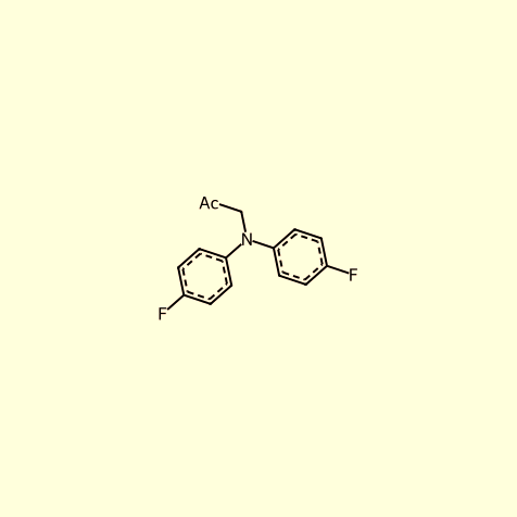 CC(=O)CN(c1ccc(F)cc1)c1ccc(F)cc1